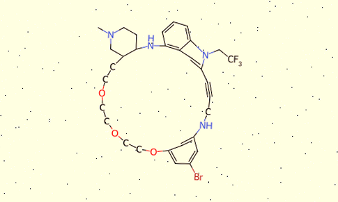 CN1CCC2Nc3cccc4c3cc(n4CC(F)(F)F)C#CCNc3cc(Br)cc(c3)OCCOCCOCCC2C1